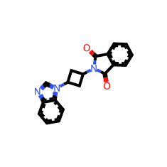 O=C1c2ccccc2C(=O)N1C1CC(n2cnc3ccccc32)C1